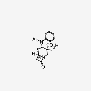 CC(=O)N(c1ccccc1)C1S[C@@H]2CC(=O)N2CC1(C)C(=O)O